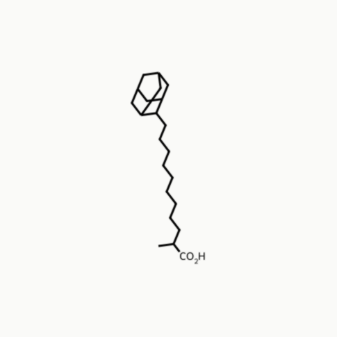 CC(CCCCCCCCCC1C2CC3CC(C2)CC1C3)C(=O)O